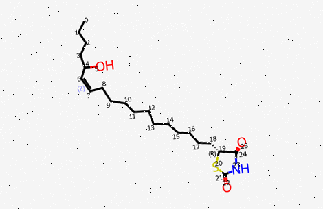 CCCCC(O)/C=C\CCCCCCCCCCC[C@H]1SC(=O)NC1=O